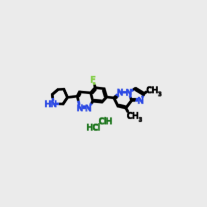 Cc1cn2nc(-c3cc(F)c4cc(C5CCCNC5)nnc4c3)cc(C)c2n1.Cl.Cl